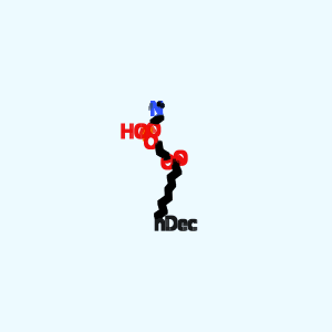 CCCCCCCCCCCCCCCCCCC(=O)OCCCOP(O)OCCN(C)C